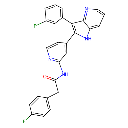 O=C(Cc1ccc(F)cc1)Nc1cc(-c2[nH]c3cccnc3c2-c2cccc(F)c2)ccn1